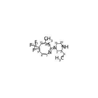 CCC1CN(c2ncccc(C(F)(F)F)cc(C)s2)CCN1